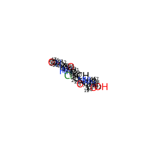 Cc1c(NC(=O)c2cc(C3CC3)c(CN3CCCCC3C(=O)O)cn2)cccc1-c1cccc(NC(=O)c2cc3c(cn2)CN(C2CCOCC2)CC3)c1Cl